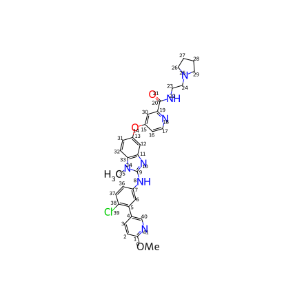 COc1ccc(-c2cc(Nc3nc4cc(Oc5ccnc(C(=O)NCCN6CCCC6)c5)ccc4n3C)ccc2Cl)cn1